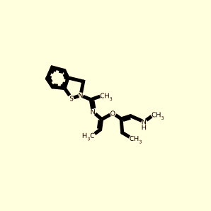 C/C=C(\N=C(/C)N1Cc2ccccc2S1)O/C(=C/NC)CC